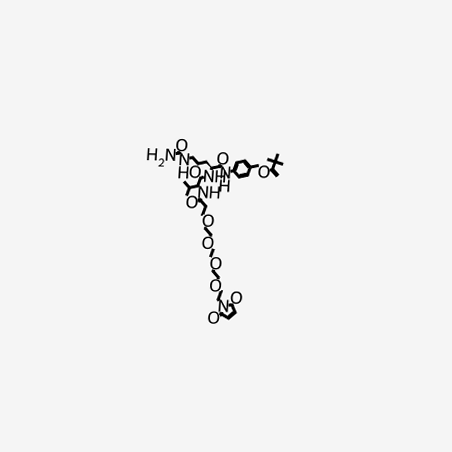 C=C(OCc1ccc(NC(=O)[C@H](CCCNC(N)=O)NC(=O)C(NC(=O)CCOCCOCCOCCOCCN2C(=O)C=CC2=O)C(C)C)cc1)C(C)(C)C